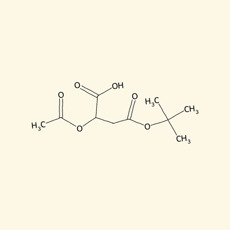 CC(=O)OC(CC(=O)OC(C)(C)C)C(=O)O